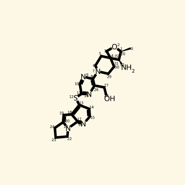 C[C@@H]1OCC2(CCN(c3ncc(Sc4ccnc5c4cc4n5CCC4)nc3CO)CC2)[C@@H]1N